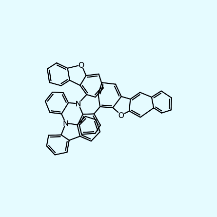 c1ccc(N(c2ccccc2-n2c3ccccc3c3ccccc32)c2cccc3oc4ccccc4c23)c(-c2cccc3c2oc2cc4ccccc4cc23)c1